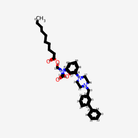 CCCCCCCCCC(=O)OCn1c(=O)oc2c(N3CCN(Cc4cccc(-c5ccccc5)c4)CC3)cccc21